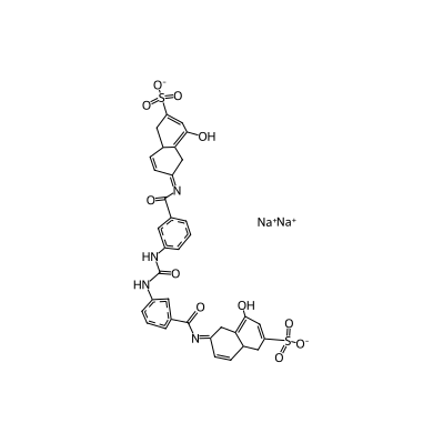 O=C(Nc1cccc(C(=O)N=C2C=CC3CC(S(=O)(=O)[O-])=CC(O)=C3C2)c1)Nc1cccc(C(=O)N=C2C=CC3CC(S(=O)(=O)[O-])=CC(O)=C3C2)c1.[Na+].[Na+]